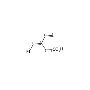 C=CC(=[C]CC)CC(=O)O